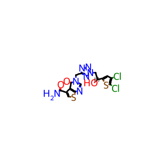 NC(=O)c1csc2ncn(Cc3nnn(C[C@H](O)c4cc(Cl)c(Cl)s4)n3)c(=O)c12